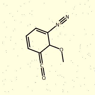 COC1C(=C=O)C=CC=C1[N+]#N